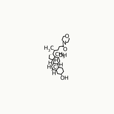 C[C@H](CCC(=O)N1CCOCC1)[C@H]1CC[C@H]2[C@@H]3CC[C@@H]4C[C@H](O)CC[C@]4(C)[C@H]3C[C@H](O)[C@]12C